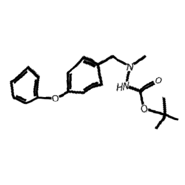 CN(Cc1ccc(Oc2ccccc2)cc1)NC(=O)OC(C)(C)C